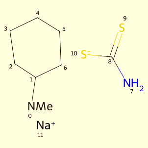 CNC1CCCCC1.NC(=S)[S-].[Na+]